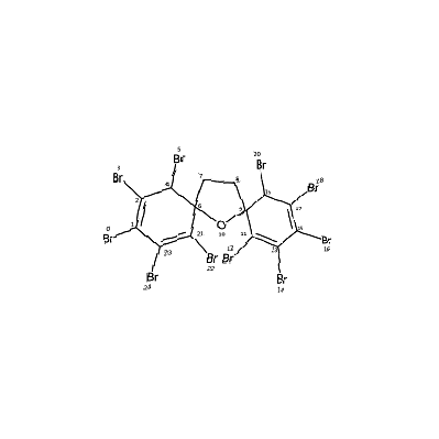 BrC1=C(Br)C(Br)C2(CCC3(O2)C(Br)=C(Br)C(Br)=C(Br)C3Br)C(Br)=C1Br